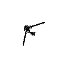 CCCCCCCCCCCCCCCCOC[C@H]1O[C@@H](OCCCN=[N+]=[N-])[C@H](OCCCCCCCCCCCCCCCC)[C@H]2OC(C)(C)O[C@H]21